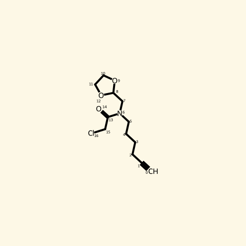 C#CCCCCN(CC1OCCO1)C(=O)CCl